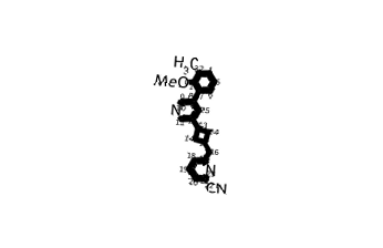 COc1c(C)cccc1-c1cncc(C2CC(Cc3cccc(C#N)n3)C2)c1